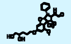 COc1cc(OCCCC(O)CO)cc2c1[C@]1(O)C(OC)C(NC=O)[C@@H](c3ccccc3)C1O2